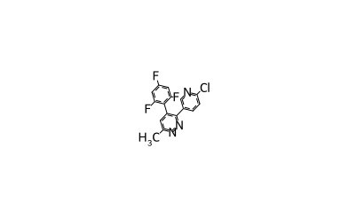 Cc1cc(-c2c(F)cc(F)cc2F)c(-c2ccc(Cl)nc2)nn1